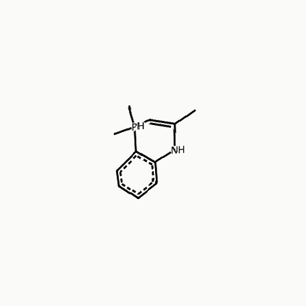 CC1=C[PH](C)(C)c2ccccc2N1